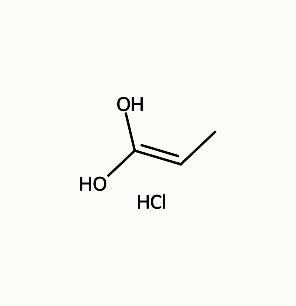 CC=C(O)O.Cl